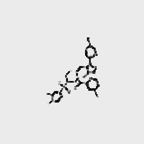 Cc1ccnc(C(=O)[C@]23Cc4cnn(-c5ccc(F)cc5)c4C=C2CCN(S(=O)(=O)c2ccc(F)c(C)c2)C3)c1